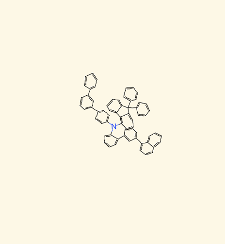 c1ccc(-c2cccc(-c3ccc(N(c4ccccc4-c4cccc(-c5cccc6ccccc56)c4)c4cccc5c4-c4ccccc4C5(c4ccccc4)c4ccccc4)cc3)c2)cc1